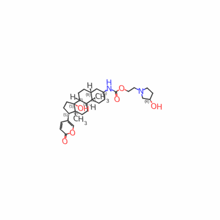 C[C@]12CC[C@H](NC(=O)OCCN3CC[C@@H](O)C3)C[C@H]1CC[C@@H]1[C@@H]2CC[C@]2(C)[C@@H](c3ccc(=O)oc3)CC[C@]12O